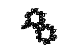 O=P1([O-])OP(=O)([O-])OP(=O)([O-])OP(=O)([O-])OP(=O)([O-])OP(=O)([O-])O1.O=P1([O-])OP(=O)([O-])OP(=O)([O-])OP(=O)([O-])OP(=O)([O-])OP(=O)([O-])O1.[Zr+4].[Zr+4].[Zr+4]